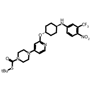 CC(C)(C)SC(=O)N1CCN(c2ccnc(O[C@H]3CC[C@H](Nc4ccc([N+](=O)[O-])c(C(F)(F)F)c4)CC3)c2)CC1